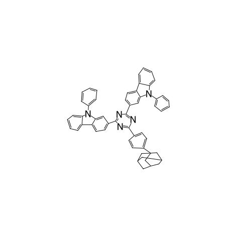 c1ccc(-n2c3ccccc3c3ccc(-c4nc(-c5ccc(C67CC8CC(CC(C8)C6)C7)cc5)nc(-c5ccc6c7ccccc7n(-c7ccccc7)c6c5)n4)cc32)cc1